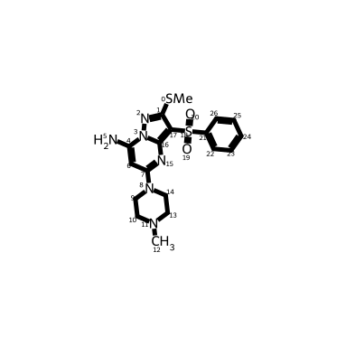 CSc1nn2c(N)cc(N3CCN(C)CC3)nc2c1S(=O)(=O)c1ccccc1